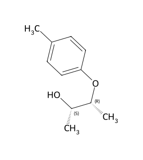 Cc1ccc(O[C@H](C)[C@H](C)O)cc1